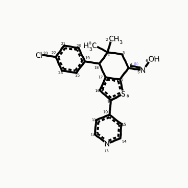 CC1(C)C/C(=N\O)c2sc(-c3ccncc3)cc2C1c1ccc(Cl)cc1